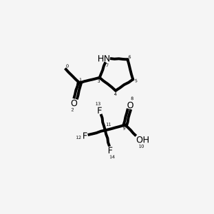 CC(=O)C1CCCN1.O=C(O)C(F)(F)F